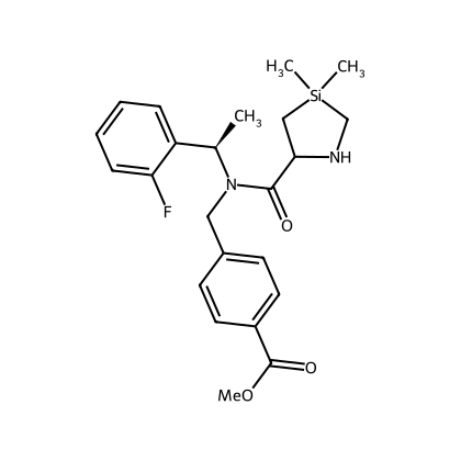 COC(=O)c1ccc(CN(C(=O)C2C[Si](C)(C)CN2)[C@H](C)c2ccccc2F)cc1